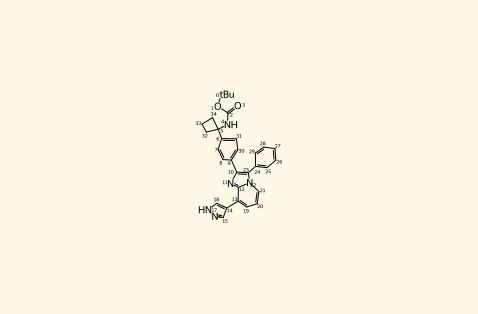 CC(C)(C)OC(=O)NC1(c2ccc(-c3nc4c(-c5cn[nH]c5)cccn4c3-c3ccccc3)cc2)CCC1